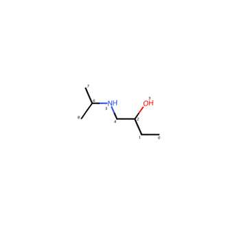 CCC(O)CNC(C)C